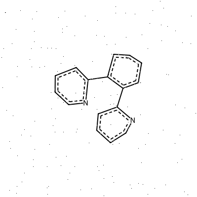 [c]1cc[c]c(-c2ccccn2)c1-c1ccccn1